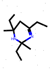 CCC1=NC(C)(CC)NC(C)(CC)C1